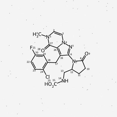 Cn1ccn2nc(N3C(=O)CCC3CNC(=O)O)c(Cc3cc(F)ccc3Cl)c2c1=O